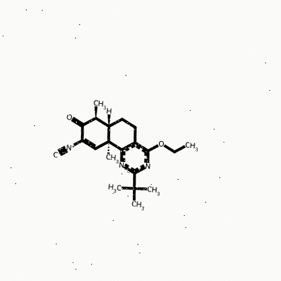 [C-]#[N+]C1=C[C@]2(C)c3nc(C(C)(C)C)nc(OCC)c3CC[C@H]2[C@H](C)C1=O